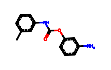 Cc1cccc(NC(=O)Oc2cccc(N)c2)c1